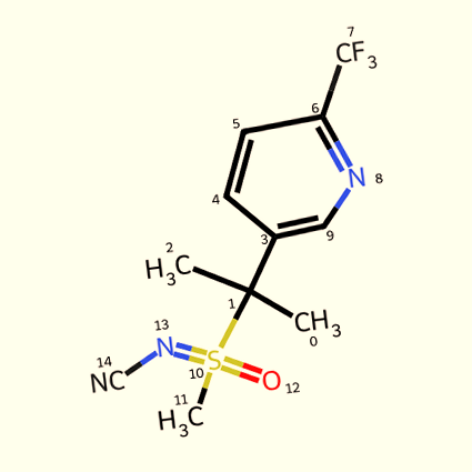 CC(C)(c1ccc(C(F)(F)F)nc1)S(C)(=O)=NC#N